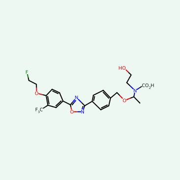 CC(OCc1ccc(-c2noc(-c3ccc(OCCF)c(C(F)(F)F)c3)n2)cc1)N(CCO)C(=O)O